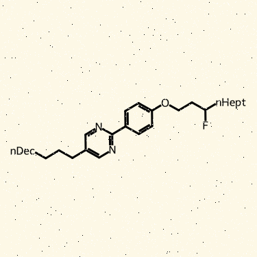 CCCCCCCCCCCCCc1cnc(-c2ccc(OCCC(F)CCCCCCC)cc2)nc1